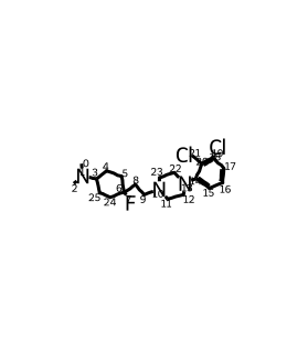 CN(C)C1CCC(F)(CCN2CCN(c3cccc(Cl)c3Cl)CC2)CC1